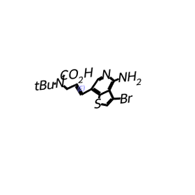 CC(C)(C)N(C/C=C/c1cnc(N)c2c(Br)csc12)C(=O)O